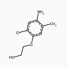 Cc1cc(OCCO)c(Cl)cc1N